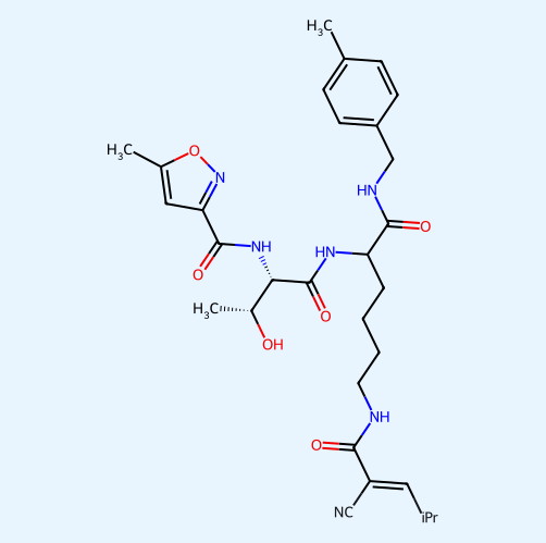 Cc1ccc(CNC(=O)C(CCCCNC(=O)C(C#N)=CC(C)C)NC(=O)[C@@H](NC(=O)c2cc(C)on2)[C@@H](C)O)cc1